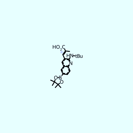 C/C(=C\c1cc2cc(B3OC(C)(C)C(C)(C)O3)ccc2nc1NC(C)(C)C)C(=O)O